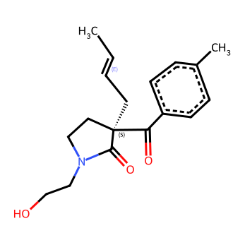 C/C=C/C[C@@]1(C(=O)c2ccc(C)cc2)CCN(CCO)C1=O